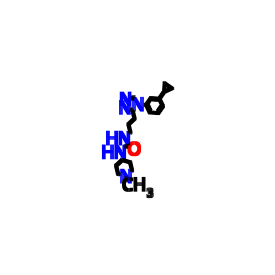 CN1CCC(NC(=O)NCCCc2nncn2-c2cccc(C3CC3)c2)CC1